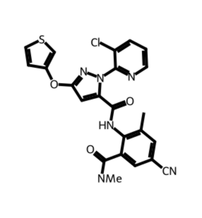 CNC(=O)c1cc(C#N)cc(C)c1NC(=O)c1cc(Oc2ccsc2)nn1-c1ncccc1Cl